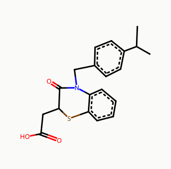 CC(C)c1ccc(CN2C(=O)C(CC(=O)O)Sc3ccccc32)cc1